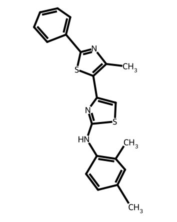 Cc1ccc(Nc2nc(-c3sc(-c4ccccc4)nc3C)cs2)c(C)c1